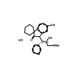 CNC[C@H](O)[C@H](c1ccccc1)N1C(=O)C2(CCCCC2)c2ccc(C#N)cc21.Cl